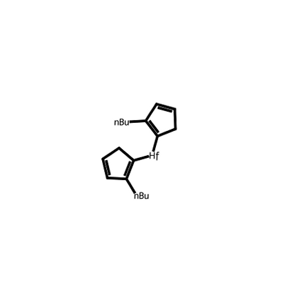 CCCCC1=[C]([Hf][C]2=C(CCCC)C=CC2)CC=C1